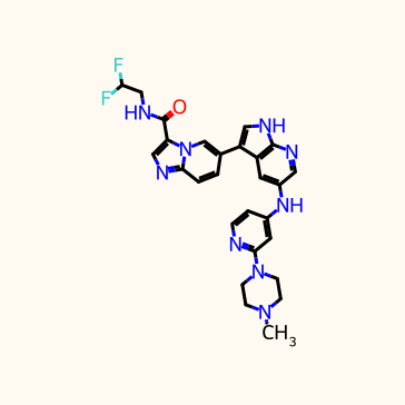 CN1CCN(c2cc(Nc3cnc4[nH]cc(-c5ccc6ncc(C(=O)NCC(F)F)n6c5)c4c3)ccn2)CC1